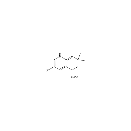 COC1CC(C)(C)C=C2NC=C(Br)C=C21